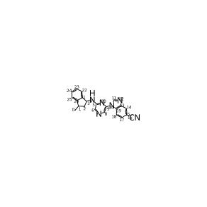 CC1CC(Nc2cncc(-n3cnc4cc(C#N)ccc43)n2)c2ccccc21